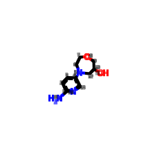 Nc1ccc(N2CCOCC(O)C2)cn1